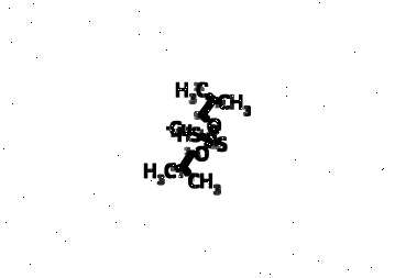 CC(C)COP(=S)(S)OCC(C)C.[Cu]